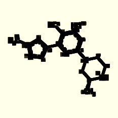 C[C@H]1CN(c2cnc(C#N)c(-c3cnn(C)c3)n2)CCN1.Cl